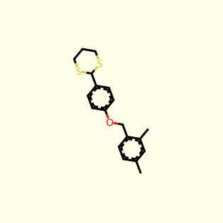 Cc1ccc(COc2ccc(C3SCCCS3)cc2)c(C)c1